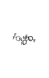 Nc1c(-c2cc(F)ccc2F)ccnc1N1CCC(F)(F)CC1